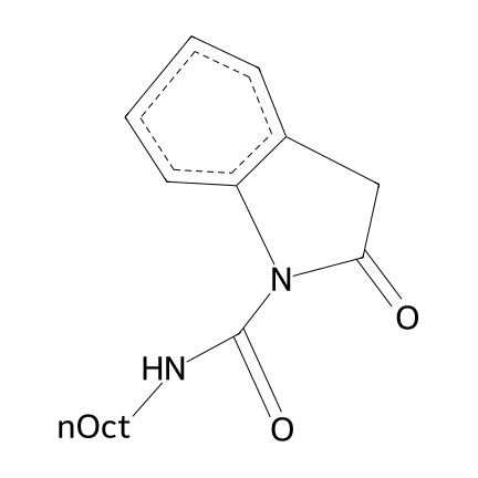 CCCCCCCCNC(=O)N1C(=O)Cc2ccccc21